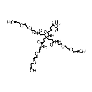 C#CCOCCOCCNC(=O)CCC(CCC(=O)NCCOCCOCC#C)(CCC(=O)NCCOCCOCC#C)NC(=O)CCC(=C)O